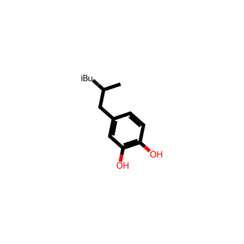 CCC(C)C(C)Cc1ccc(O)c(O)c1